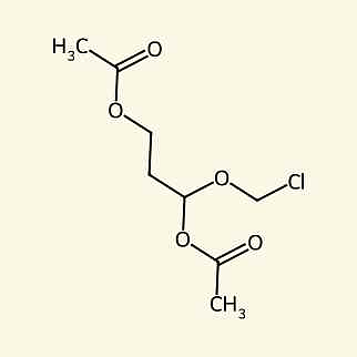 CC(=O)OCCC(OCCl)OC(C)=O